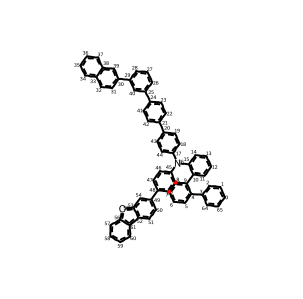 c1ccc(-c2ccccc2-c2ccccc2N(c2ccc(-c3ccc(-c4cccc(-c5ccc6ccccc6c5)c4)cc3)cc2)c2ccc(-c3ccc4c(c3)oc3ccccc34)cc2)cc1